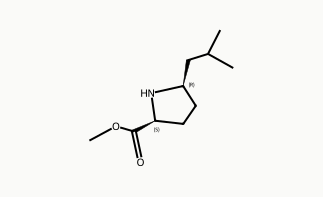 COC(=O)[C@@H]1CC[C@H](CC(C)C)N1